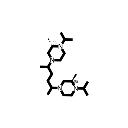 CC(CCC(C)N1CCN(C(C)C)[C@@H](C)C1)N1CCN(C(C)C)[C@H](C)C1